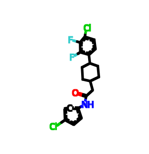 O=C(CC1CCC(c2ccc(Cl)c(F)c2F)CC1)Nc1ccc(Cl)cc1